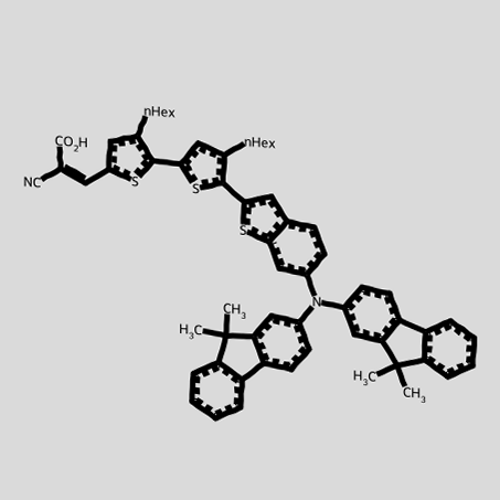 CCCCCCc1cc(/C=C(/C#N)C(=O)O)sc1-c1cc(CCCCCC)c(-c2cc3ccc(N(c4ccc5c(c4)C(C)(C)c4ccccc4-5)c4ccc5c(c4)C(C)(C)c4ccccc4-5)cc3s2)s1